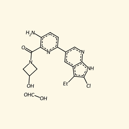 CCc1c(Cl)[nH]c2ncc(-c3ccc(N)c(C(=O)N4CC(O)C4)n3)cc12.O=CO